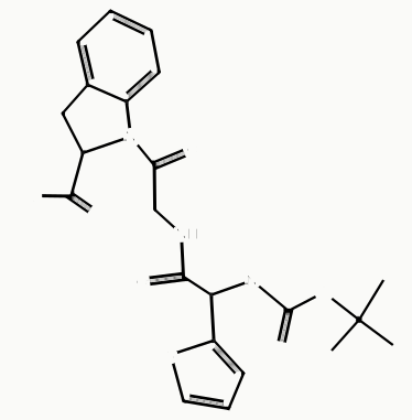 CC(C)(C)OC(=O)NC(C(=O)NCC(=O)N1c2ccccc2CC1C(=O)O)c1cccs1